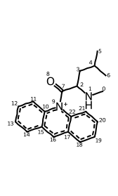 CNC(CC(C)C)C(=O)[n+]1c2ccccc2cc2ccccc21